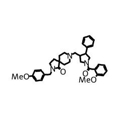 COc1ccc(CN2CCC3(CCN(CC4CN(C(=O)c5ccccc5OC)CC4c4ccccc4)CC3)C2=O)cc1